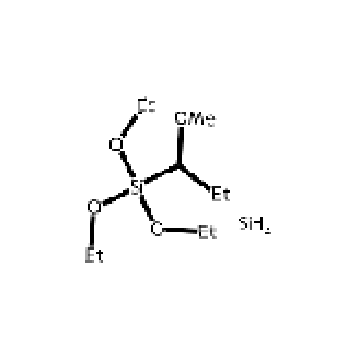 CCO[Si](OCC)(OCC)C(CC)OC.[SiH4]